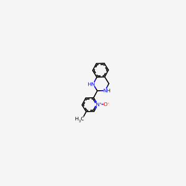 Cc1ccc(C2NCc3ccccc3N2)[n+]([O-])c1